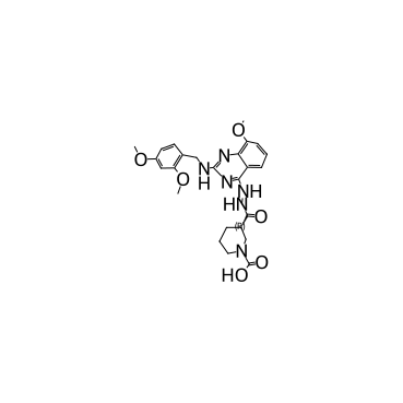 COc1ccc(CNc2nc(NNC(=O)[C@@H]3CCCN(C(=O)O)C3)c3cccc(OC)c3n2)c(OC)c1